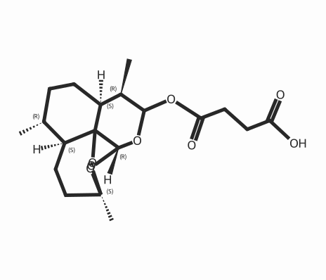 C[C@@H]1CC[C@H]2[C@@H](C)C(OC(=O)CCC(=O)O)O[C@@H]3O[C@]4(C)CC[C@@H]1C32OO4